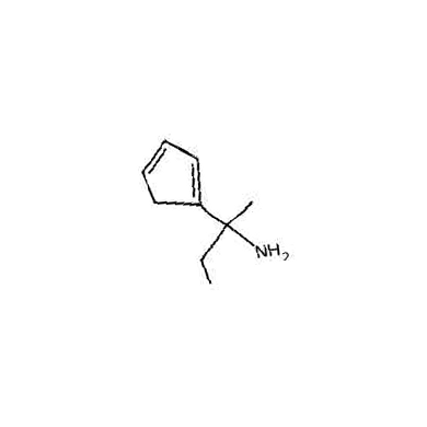 CCC(C)(N)C1=CC=CC1